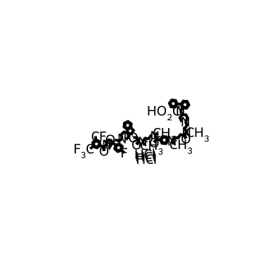 CN(CCN1CCC(N(C(=O)O)c2ccccc2-c2ccccc2)CC1)C(=O)CCCN(C)c1ccc(C(=O)N(C)CCCN(C)C(=O)CO[C@H]2Cc3ccccc3C23CCN(CC[C@@]2(c4ccc(F)cc4)CN(C(=O)c4cc(C(F)(F)F)cc(C(F)(F)F)c4)CO2)CC3)cc1.Cl.Cl.Cl